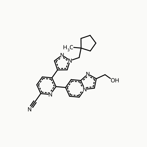 CC1(Cn2cc(-c3ccc(C#N)nc3-c3ccn4cc(CO)nc4c3)cn2)CCCC1